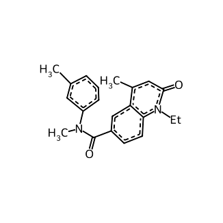 CCn1c(=O)cc(C)c2cc(C(=O)N(C)c3cccc(C)c3)ccc21